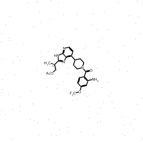 CC(=O)OC[C@@H](C)c1nc2c(C3CCN(C(=O)c4ccc(OC(F)(F)F)cc4N)CC3)ccnc2[nH]1